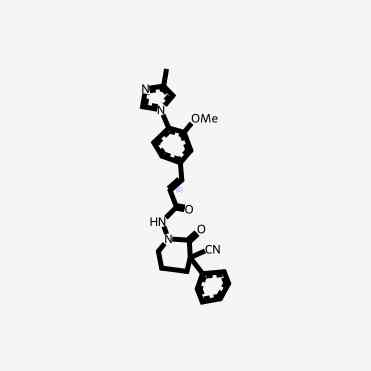 COc1cc(/C=C/C(=O)NN2CCCC(C#N)(c3ccccc3)C2=O)ccc1-n1cnc(C)c1